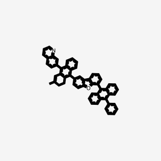 CC1=Cc2c(c(-c3ccc4oc5c(-c6c7ccccc7c(-c7ccccc7)c7ccccc67)cccc5c4c3)c3ccccc3c2-c2ccc3cccnc3c2)CC1